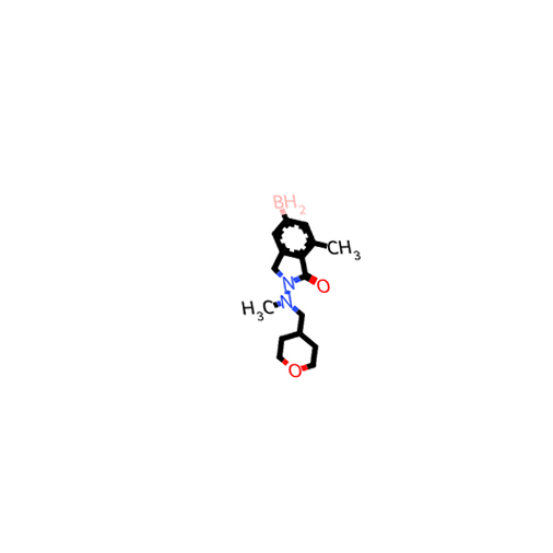 Bc1cc(C)c2c(c1)CN(N(C)CC1CCOCC1)C2=O